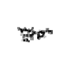 O=[N+]([O-])c1cc(F)cc2cc(-c3nc(CCl)co3)[nH]c12